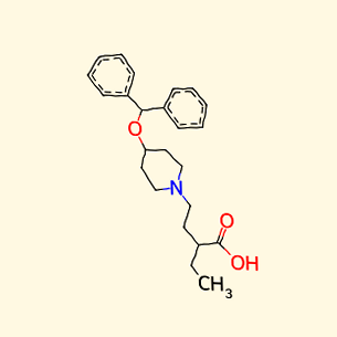 CCC(CCN1CCC(OC(c2ccccc2)c2ccccc2)CC1)C(=O)O